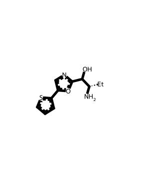 CC[C@H](N)C(O)c1ncc(-c2cccs2)o1